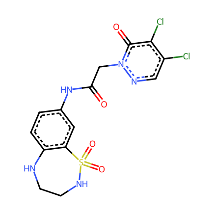 O=C(Cn1ncc(Cl)c(Cl)c1=O)Nc1ccc2c(c1)S(=O)(=O)NCCN2